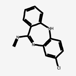 C=NC1=Nc2cc(Cl)ccc2Nc2ccccc21